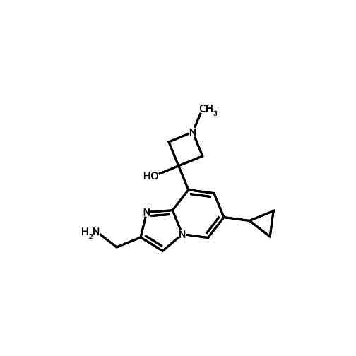 CN1CC(O)(c2cc(C3CC3)cn3cc(CN)nc23)C1